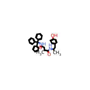 CC(Cc1ccc(O)cc1)NC(=O)[C@H](C)CC(=O)NC(c1ccccc1)(c1ccccc1)c1ccccc1